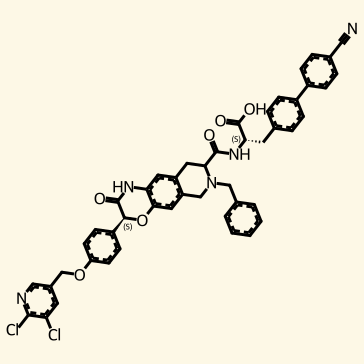 N#Cc1ccc(-c2ccc(C[C@H](NC(=O)C3Cc4cc5c(cc4CN3Cc3ccccc3)O[C@@H](c3ccc(OCc4cnc(Cl)c(Cl)c4)cc3)C(=O)N5)C(=O)O)cc2)cc1